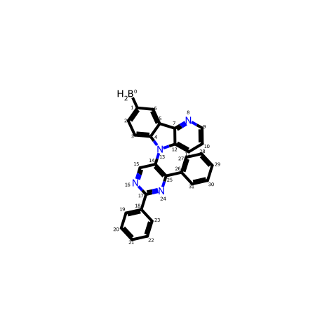 Bc1ccc2c(c1)c1ncccc1n2-c1cnc(-c2ccccc2)nc1-c1ccccc1